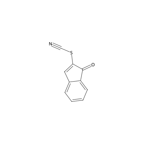 N#CSC1=Cc2ccccc2C1=O